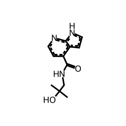 CC(C)(O)CNC(=O)c1ccnc2[nH]ccc12